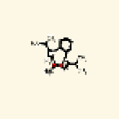 CC(C)C1CC(C(C)C)P1c1ccccc1P1C(C(C)C)CC1C(C)C